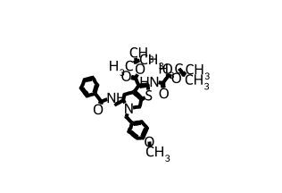 COc1ccc(CN2Cc3sc(NC(=O)C(=O)OC(C)(C)C)c(C(=O)OC(C)(C)C)c3CC2CNC(=O)c2ccccc2)cc1